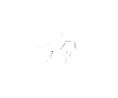 COC(=O)c1[nH]ccc1I